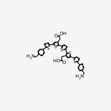 NCc1ccc(-c2ccc(-c3cc(CC(=O)O)c(-c4ccc(-c5sc(-c6ccc(-c7ccc(CN)cc7)s6)cc5CC(=O)O)s4)s3)s2)cc1